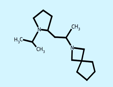 CC(CC1CCCN1C(C)C)N1CC2(CCCC2)C1